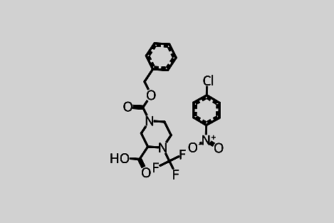 O=C(O)C1CN(C(=O)OCc2ccccc2)CCN1C(F)(F)F.O=[N+]([O-])c1ccc(Cl)cc1